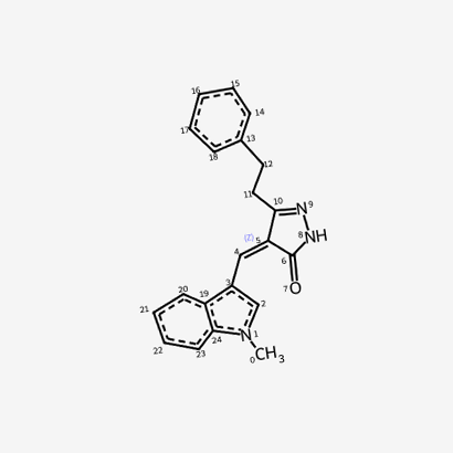 Cn1cc(/C=C2\C(=O)NN=C2CCc2ccccc2)c2ccccc21